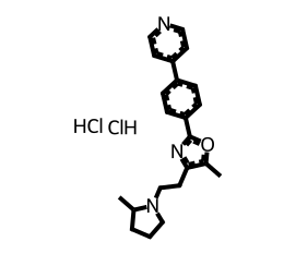 Cc1oc(-c2ccc(-c3ccncc3)cc2)nc1CCN1CCCC1C.Cl.Cl